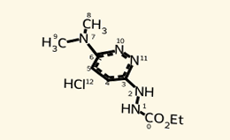 CCOC(=O)NNc1ccc(N(C)C)nn1.Cl